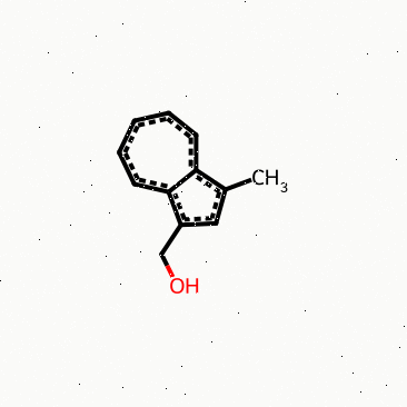 Cc1cc(CO)c2cccccc1-2